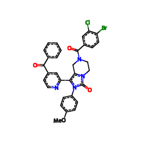 COc1ccc(-n2c(-c3cc(C(=O)c4ccccc4)ccn3)c3n(c2=O)CCN(C(=O)c2ccc(Br)c(Cl)c2)C3)cc1